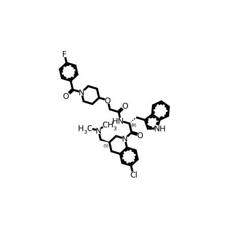 CN(C)C[C@@H]1Cc2cc(Cl)ccc2N(C(=O)[C@@H](Cc2c[nH]c3ccccc23)NC(=O)COC2CCN(C(=O)c3ccc(F)cc3)CC2)C1